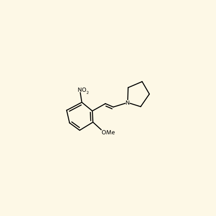 COc1cccc([N+](=O)[O-])c1C=CN1CCCC1